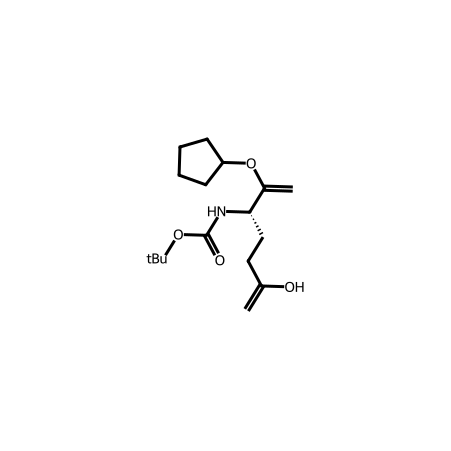 C=C(O)CC[C@H](NC(=O)OC(C)(C)C)C(=C)OC1CCCC1